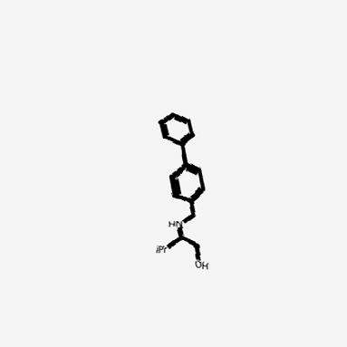 CC(C)C(CO)NCc1ccc(-c2ccccc2)cc1